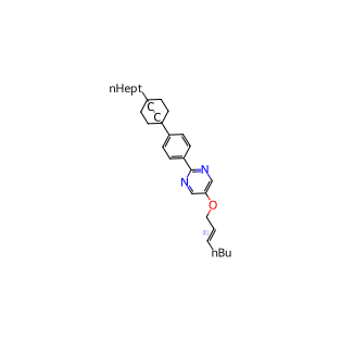 CCCC/C=C/COc1cnc(-c2ccc(C34CCC(CCCCCCC)(CC3)CC4)cc2)nc1